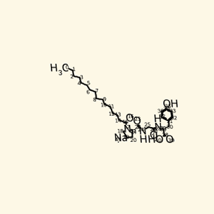 CCCCCCCCCCCCCCCC(=O)N1CCC[C@H]1C(=O)NCC(=O)N[C@@H](Cc1ccc(O)cc1)C(=O)O.[Na]